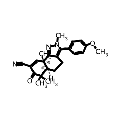 COc1ccc(-c2c3c(nn2C)[C@@]2(C)C=C(C#N)C(=O)C(C)(C)[C@@H]2CC3)cc1